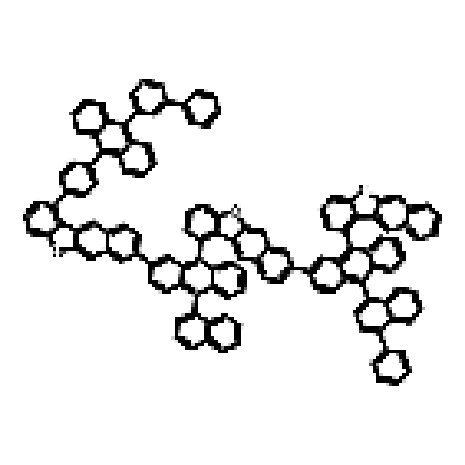 c1ccc(-c2cccc(-c3c4ccccc4c(-c4ccc(-c5cccc6oc7cc8cc(-c9ccc%10c(-c%11cccc%12ccccc%11%12)c%11ccccc%11c(-c%11cccc%12oc%13cc%14cc(-c%15ccc%16c(-c%17ccc(-c%18ccccc%18)c%18ccccc%17%18)c%17ccccc%17c(-c%17cccc%18oc%19cc%20ccccc%20cc%19c%17%18)c%16c%15)ccc%14cc%13c%11%12)c%10c9)ccc8cc7c56)cc4)c4ccccc34)c2)cc1